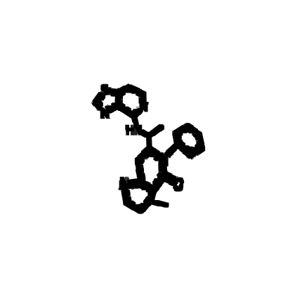 Cc1ccnc2cc(C(C)Nc3nccc4scnc34)n(-c3ccccc3)c(=O)c12